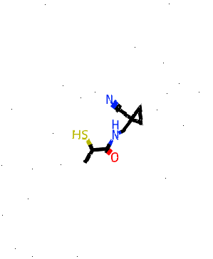 CC(S)C(=O)NCC1(C#N)CC1